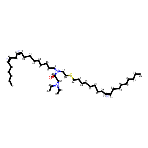 CCCCC/C=C\C/C=C\CCCCCCCCN(CCSCCCCCCCC/C=C\CCCCCCCC)C(=O)CN(CC)CC